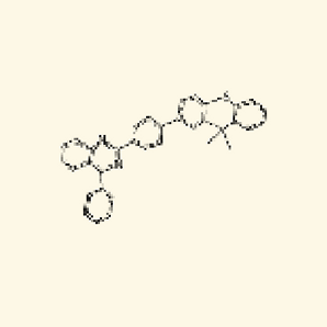 CC1(C)c2ccccc2Sc2ccc(-c3ccc(-c4nc(-c5ccccc5)c5ccccc5n4)cc3)cc21